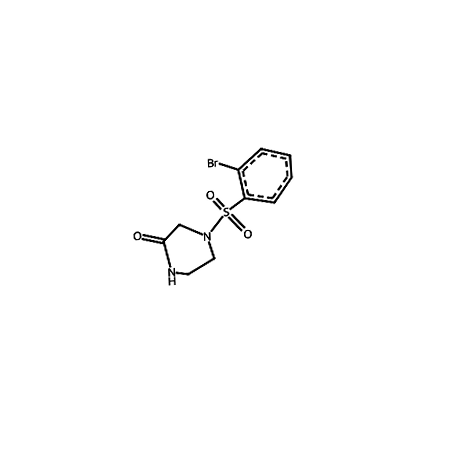 O=C1CN(S(=O)(=O)c2ccccc2Br)CCN1